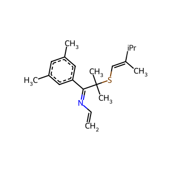 C=C/N=C(/c1cc(C)cc(C)c1)C(C)(C)S/C=C(\C)C(C)C